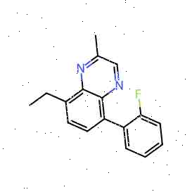 CCc1ccc(-c2ccccc2F)c2ncc(C)nc12